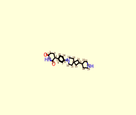 O=C1CCC(c2ccc(N3CCC4(CC3)CC(C3CCNCC3)C4)cc2)C(=O)N1